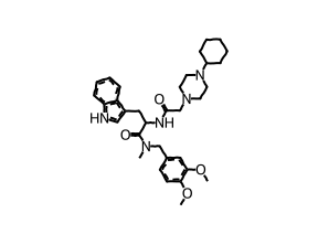 COc1ccc(CN(C)C(=O)C(Cc2c[nH]c3ccccc23)NC(=O)CN2CCN(C3CCCCC3)CC2)cc1OC